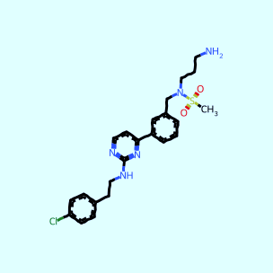 CS(=O)(=O)N(CCCN)Cc1cccc(-c2ccnc(NCCc3ccc(Cl)cc3)n2)c1